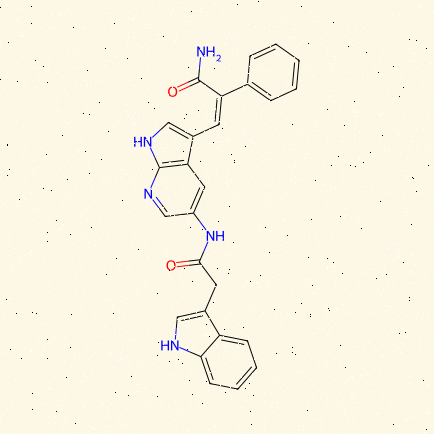 NC(=O)C(=Cc1c[nH]c2ncc(NC(=O)Cc3c[nH]c4ccccc34)cc12)c1ccccc1